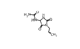 C=CCN1C(=O)NC(NC(N)=O)C1=O